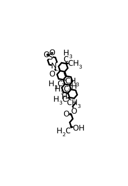 C=C(O)CCC(=O)OCC[C@H]1CC[C@]2(C)[C@H]3CCC4=C5CC(C)(C)CC[C@]5(C(=O)N5CCS(=O)(=O)CC5)CC[C@@]4(C)[C@]3(C)CC[C@H]2C1(C)C